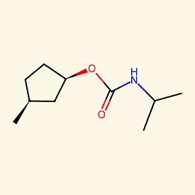 CC(C)NC(=O)O[C@@H]1CC[C@H](C)C1